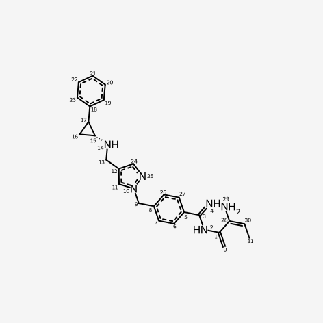 C=C(NC(=N)c1ccc(Cn2cc(CN[C@@H]3CC3c3ccccc3)cn2)cc1)/C(N)=C\C